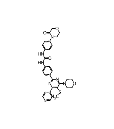 CSc1c(-c2ccncc2)nc(-c2ccc(NC(=O)Nc3ccc(N4CCOCC4=O)cc3)cc2)nc1N1CCOCC1